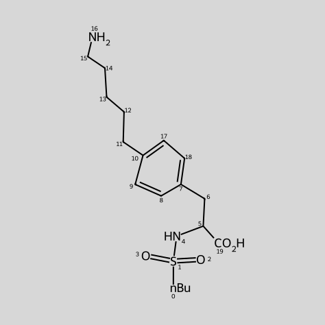 CCCCS(=O)(=O)NC(Cc1ccc(CCCCCN)cc1)C(=O)O